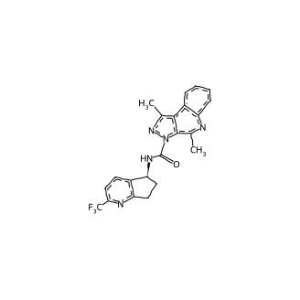 Cc1nn(C(=O)N[C@H]2CCc3nc(C(F)(F)F)ccc32)c2c(C)nc3ccccc3c12